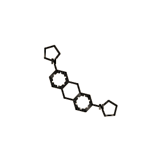 c1cc2c(cc1N1CCCC1)Cc1cc(N3CCCC3)ccc1C2